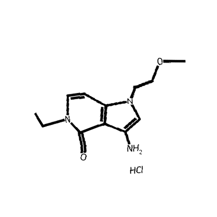 CCn1ccc2c(c(N)cn2CCOC)c1=O.Cl